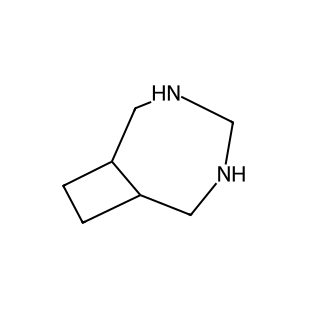 C1NCC2CCC2CN1